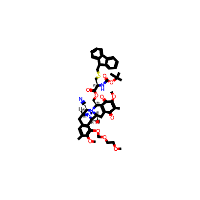 COCCOCOc1c(OC)c(C)cc2c1[C@@H]1[C@@H]3CC4=C(C(=O)C(OC)=C(C)C4=O)[C@H](COC(=O)[C@@H](CSCC4c5ccccc5-c5ccccc54)NC(=O)OC(C)(C)C)N3[C@@H](C#N)[C@@H](C2)N1C